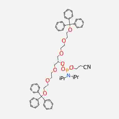 CC(C)N(C(C)C)P(OCCC#N)OOC(COCCOCCOC(c1ccccc1)(c1ccccc1)c1ccccc1)COCCOCCOC(c1ccccc1)(c1ccccc1)c1ccccc1